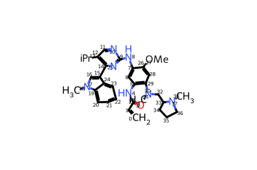 C=CC(=O)Nc1cc(Nc2ncc(C(C)C)c(-c3cn(C)c4ccccc34)n2)c(OC)cc1N(C)CC1CCCN1C